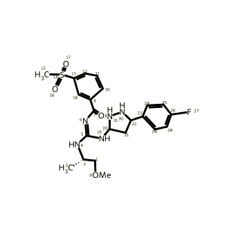 COC[C@H](C)N/C(=N/C(=O)c1cccc(S(C)(=O)=O)c1)NC1CC(c2ccc(F)cc2)NN1